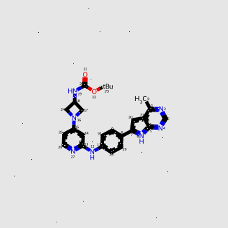 Cc1ncnc2[nH]c(-c3ccc(Nc4cc(N5CC(NC(=O)OC(C)(C)C)C5)ccn4)cc3)cc12